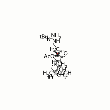 CC(=O)O[C@@H]1C[C@@]23COC[C@](C)([C@@H]2CC[C@H]2C3=CC[C@@]3(C)[C@H](C(=O)O)[C@@](C)([C@H](C)C(C)C)CC[C@]23C)[C@H]1OCCNC(N)=NC(C)(C)C